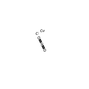 O=[Si]=O.[C].[Cu]